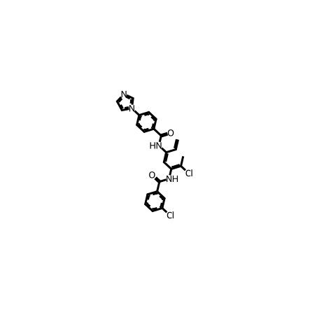 C=C/C(=C\C(NC(=O)c1cccc(Cl)c1)=C(/C)Cl)NC(=O)c1ccc(-n2ccnc2)cc1